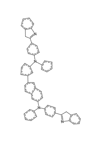 c1ccc(N(c2ccc(C3=Nc4ccccc4C3)cc2)c2cccc(-c3ccc4cc(N(c5ccccc5)c5ccc(C6=Nc7ccccc7C6)cc5)ccc4c3)c2)cc1